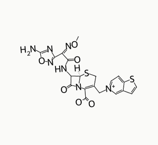 CO/N=C(\C(=O)NC1C(=O)N2C(C(=O)[O-])=C(C[n+]3ccc4sccc4c3)CS[C@H]12)c1noc(N)n1